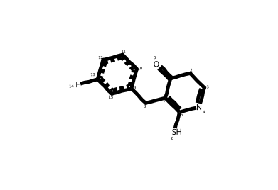 O=C1CC=NC(S)=C1Cc1cccc(F)c1